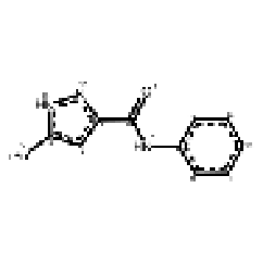 CCC(C)c1cc(C(=O)Nc2ccccc2)n[nH]1